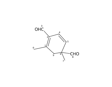 CC1=C(C=O)C=CC(C)(C=O)C1